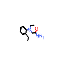 CCc1ccccc1N(CC)CC(N)=O